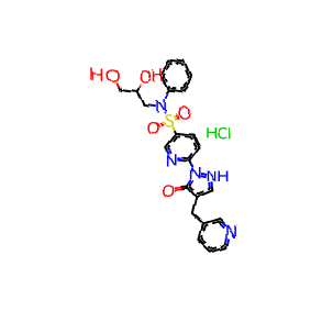 Cl.O=c1c(Cc2cccnc2)c[nH]n1-c1ccc(S(=O)(=O)N(CC(O)CO)c2ccccc2)cn1